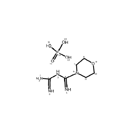 N=C(N)NC(=N)N1CCOCC1.O=P(O)(O)O